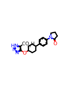 O=C(O)c1[nH]nnc1OC1CCC(c2ccc(N3CCCC3=O)cc2)CC1